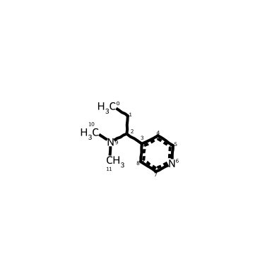 CCC(c1ccncc1)N(C)C